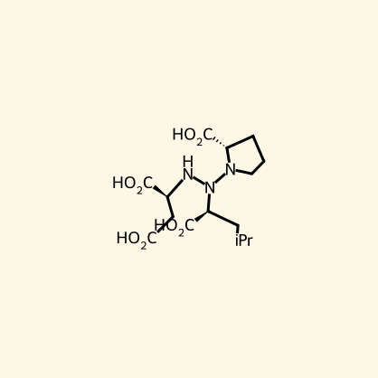 CC(C)C[C@@H](C(=O)O)N(N[C@@H](CC(=O)O)C(=O)O)N1CCC[C@H]1C(=O)O